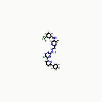 Cc1cc(/C=N/Nc2ncc(F)c(-c3cccc(-c4ccccc4)n3)n2)ncc1Nc1cccc(C(F)(F)F)c1